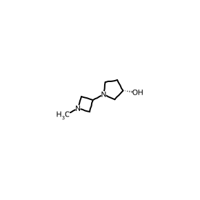 CN1CC(N2CC[C@H](O)C2)C1